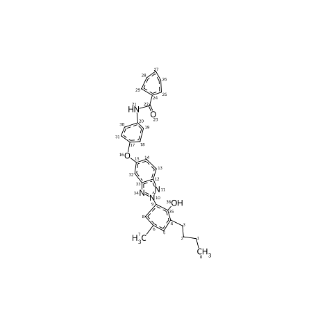 CCCCc1cc(C)cc(-n2nc3ccc(Oc4ccc(NC(=O)c5ccccc5)cc4)cc3n2)c1O